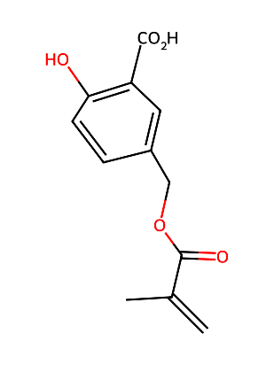 C=C(C)C(=O)OCc1ccc(O)c(C(=O)O)c1